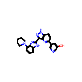 Oc1cncc(-c2ccc3[nH]nc(-c4nc5c(N6CCCCC6)cccc5[nH]4)c3n2)c1